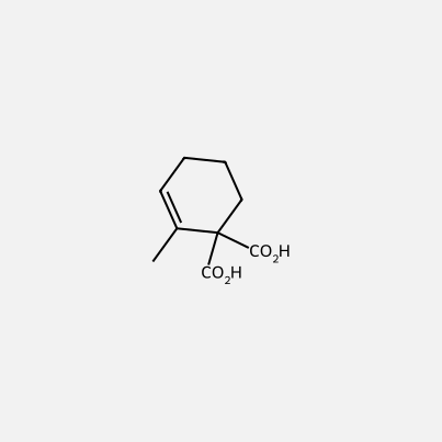 CC1=CCCCC1(C(=O)O)C(=O)O